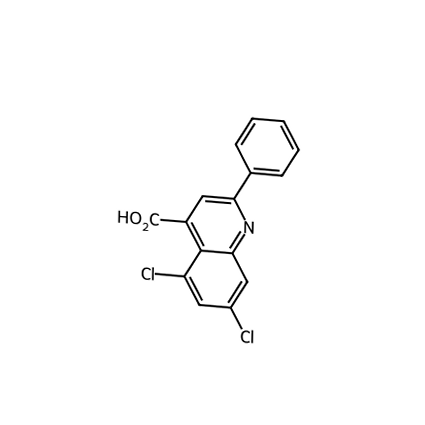 O=C(O)c1cc(-c2ccccc2)nc2cc(Cl)cc(Cl)c12